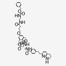 COC(=O)[C@@H](CNC(=O)c1ccc(CCc2ccc3c(n2)NCCC3)cc1)NS(=O)(=O)c1c(C)cc(OCCCC(=O)NCCNC(=O)OCc2ccccc2)cc1C